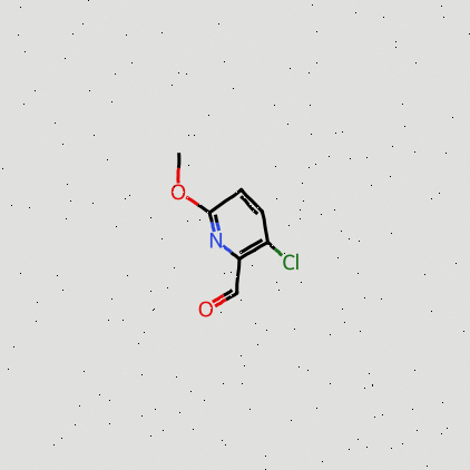 COc1ccc(Cl)c(C=O)n1